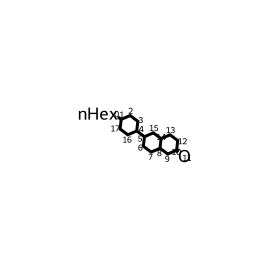 CCCCCCC1CCC(C2CCC3CC(=O)CCC3C2)CC1